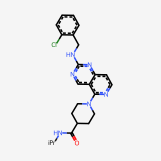 CC(C)NC(=O)C1CCN(c2nccc3nc(NCc4ccccc4Cl)ncc23)CC1